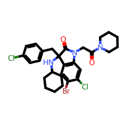 O=C(CN1C(=O)C(Cc2ccc(Cl)cc2)(NC2CCCCC2)c2cc(Br)c(Cl)cc21)N1CCCCC1